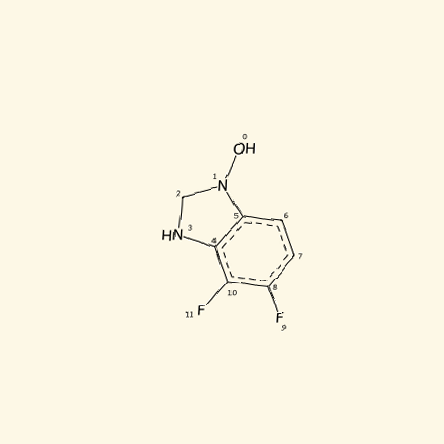 ON1CNc2c1ccc(F)c2F